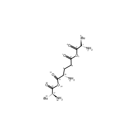 CC[C@H](C)[C@H](N)C(=O)OC(=O)CC[C@H](N)C(=O)OC(=O)[C@@H](N)[C@@H](C)CC